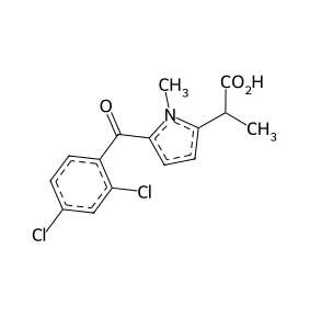 CC(C(=O)O)c1ccc(C(=O)c2ccc(Cl)cc2Cl)n1C